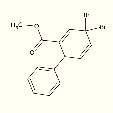 COC(=O)C1=CC(Br)(Br)C=CC1c1ccccc1